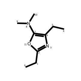 CCc1nc(CC)c(N(C)C)o1